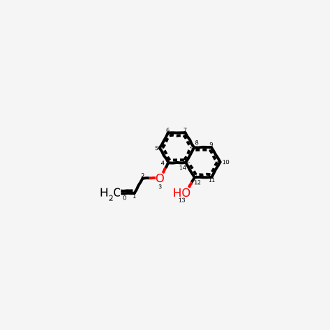 C=CCOc1cccc2cccc(O)c12